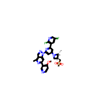 COc1ccncc1-c1cc2c(cnn2-c2cc(N3C[C@H](CS(C)(=O)=O)[C@H]3C)cc(-c3cc(F)cnc3F)n2)c(C)n1